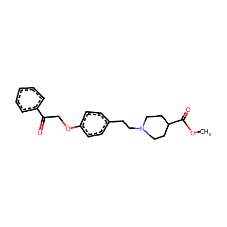 COC(=O)C1CCN(CCc2ccc(OCC(=O)c3ccccc3)cc2)CC1